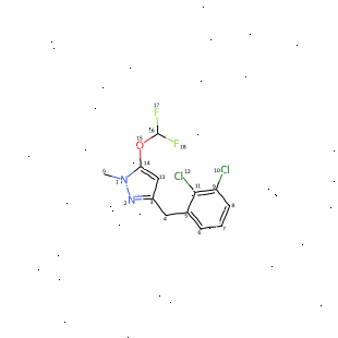 Cn1nc(Cc2cccc(Cl)c2Cl)cc1OC(F)F